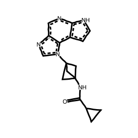 O=C(NC12CC(n3cnc4cnc5[nH]ccc5c43)(C1)C2)C1CC1